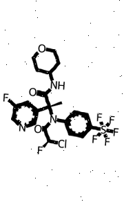 C[C@](C(=O)NC1CCOCC1)(c1cncc(F)c1)N(C(=O)[C@H](F)Cl)c1ccc(S(F)(F)(F)(F)F)cc1